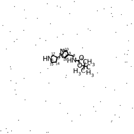 CC(C)(C)OC(=O)NCc1cnn([C@H]2CCNC2)c1